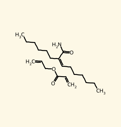 C=CCOC(=O)C=C.CCCCCC/C=C(/CCCCCC)C(N)=O